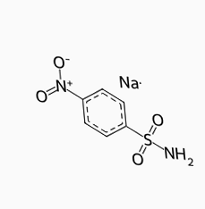 NS(=O)(=O)c1ccc([N+](=O)[O-])cc1.[Na]